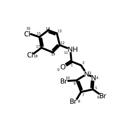 O=C(Cn1nc(Br)c(Br)c1Br)Nc1ccc(Cl)c(Cl)c1